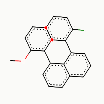 COc1ccccc1-c1cccc2cccc(-c3ccccc3Cl)c12